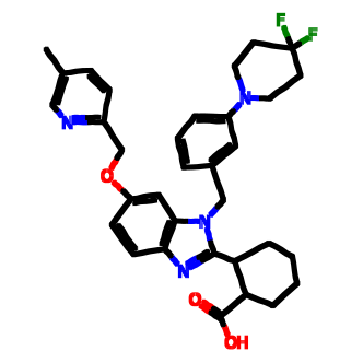 Cc1ccc(COc2ccc3nc(C4CCCCC4C(=O)O)n(Cc4cccc(N5CCC(F)(F)CC5)c4)c3c2)nc1